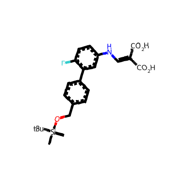 CC(C)(C)[Si](C)(C)OCc1ccc(-c2cc(NC=C(C(=O)O)C(=O)O)ccc2F)cc1